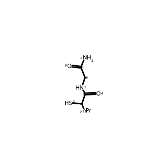 CCCC(S)C(=O)NCC(N)=O